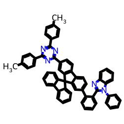 Cc1ccc(-c2nc(-c3ccc(C)cc3)nc(-c3ccc4c(c3)C3(c5ccccc5-c5ccccc53)c3cc(-c5ccccc5-c5nc6ccccc6n5-c5ccccc5)ccc3-4)n2)cc1